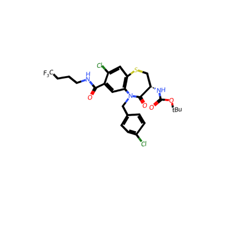 CC(C)(C)OC(=O)N[C@H]1CSc2cc(Cl)c(C(=O)NCCCC(F)(F)F)cc2N(Cc2ccc(Cl)cc2)C1=O